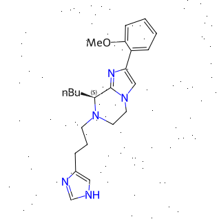 CCCC[C@H]1c2nc(-c3ccccc3OC)cn2CCN1CCCc1c[nH]cn1